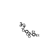 C=CC(=O)OC(C)(C)CC(C)Oc1ccc2cc(-c3ccc(CC)cc3CC)c(=O)oc2c1